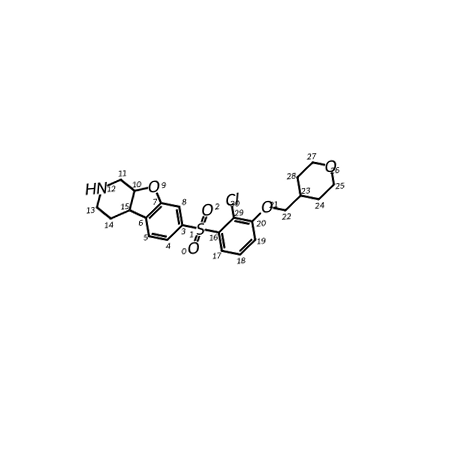 O=S(=O)(c1ccc2c(c1)OC1CNCCC21)c1cccc(OCC2CCOCC2)c1Cl